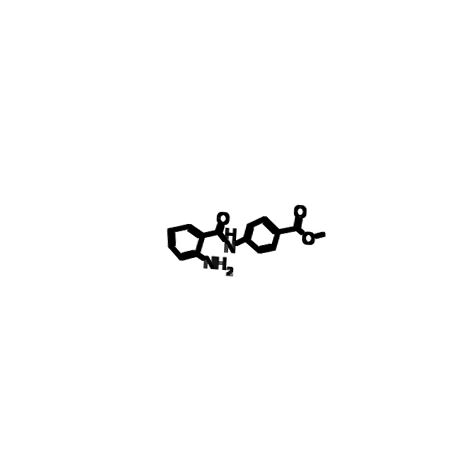 COC(=O)c1ccc(NC(=O)c2ccccc2N)cc1